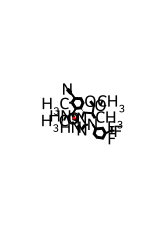 CNC(=O)c1c([C@@H]2C(C(=O)OC)=C(C)N(c3cccc(C(F)(F)F)c3)c3n[nH]c(=O)n32)ccc(C#N)c1C